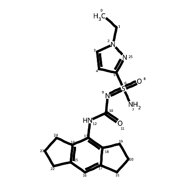 CCn1ccc(S(N)(=O)=NC(=O)Nc2c3c(cc4c2CCC4)CCC3)n1